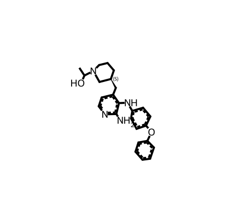 CC(O)N1CCC[C@@H](Cc2ccnc(N)c2Nc2ccc(Oc3ccccc3)cc2)C1